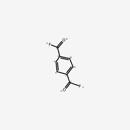 O=C(F)c1ccc(C(=O)F)cc1